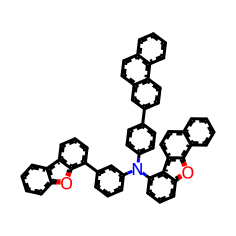 c1cc(-c2cccc3c2oc2ccccc23)cc(N(c2ccc(-c3ccc4c(ccc5ccccc54)c3)cc2)c2cccc3oc4c5ccccc5ccc4c23)c1